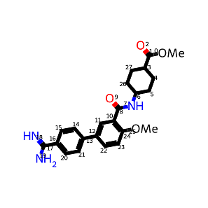 COC(=O)C1CCC(NC(=O)c2cc(-c3ccc(C(=N)N)cc3)ccc2OC)CC1